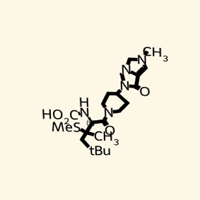 CSC(C)(CC(C)(C)C)[C@@H](NC(=O)O)C(=O)N1CCC(N2CN3CN(C)C=C3C2=O)CC1